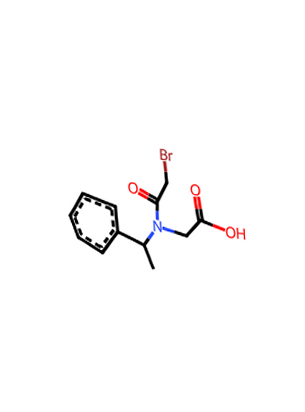 CC(c1ccccc1)N(CC(=O)O)C(=O)CBr